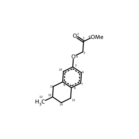 COC(=O)COc1ccc2c(c1)CC(C)CC2